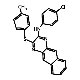 Cc1ccc(Sc2nc3cc4ccccc4cc3nc2Nc2ccc(Cl)cc2)cc1